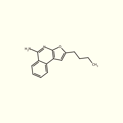 CCCCc1cc2c(nc(N)c3ccccc32)o1